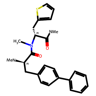 CNC(=O)[C@@H](Cc1cccs1)N(C)C(=O)[C@@H](Cc1ccc(-c2ccccc2)cc1)NC